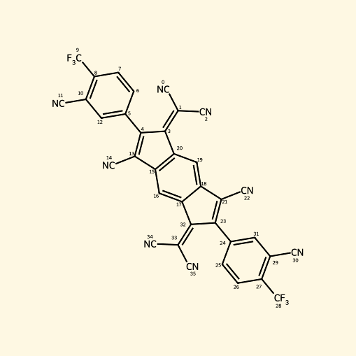 N#CC(C#N)=C1C(c2ccc(C(F)(F)F)c(C#N)c2)=C(C#N)c2cc3c(cc21)C(C#N)=C(c1ccc(C(F)(F)F)c(C#N)c1)C3=C(C#N)C#N